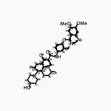 COc1cc2ncnc(Oc3ccc(NC(=O)c4cn5c6c(c(N7CCC(O)CC7)c(F)cc6c4=O)CCC5C)cc3F)c2cc1OC